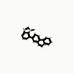 Cn1cnc2cccc(-c3ccc4c(ccc5ccccc54)c3)c21